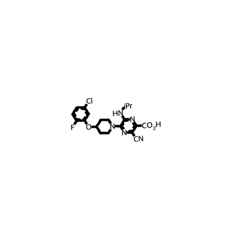 CC(C)Nc1nc(C(=O)O)c(C#N)nc1N1CCC(Oc2cc(Cl)ccc2F)CC1